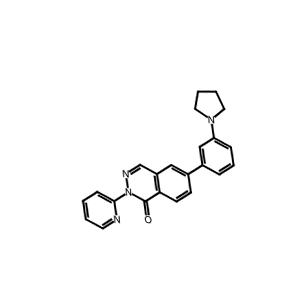 O=c1c2ccc(-c3cccc(N4CCCC4)c3)cc2cnn1-c1ccccn1